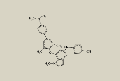 Cc1cc(-c2ccc(N(C)C)cc2)cc(C)c1Oc1nc(Nc2ccc(C#N)cc2)nc2ccn(C)c12